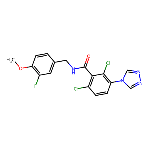 COc1ccc(CNC(=O)c2c(Cl)ccc(-n3cnnc3)c2Cl)cc1F